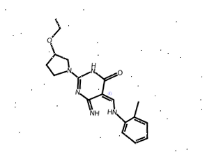 CCOC1CCN(C2=NC(=N)/C(=C\Nc3ccccc3C)C(=O)N2)C1